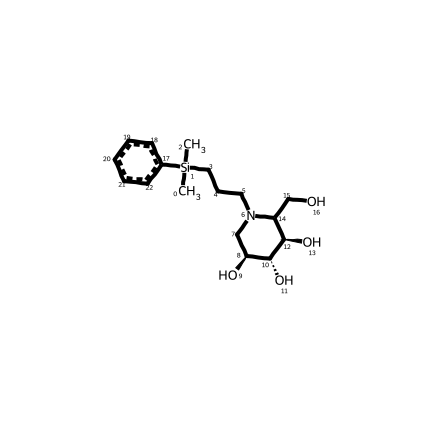 C[Si](C)(CCCN1C[C@H](O)[C@@H](O)[C@H](O)C1CO)c1ccccc1